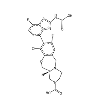 O=C(O)Nc1nc2c(-c3c(Cl)cc4c(c3Cl)OC[C@H]3CN(C(=O)O)CCN3C4)ccc(F)c2s1